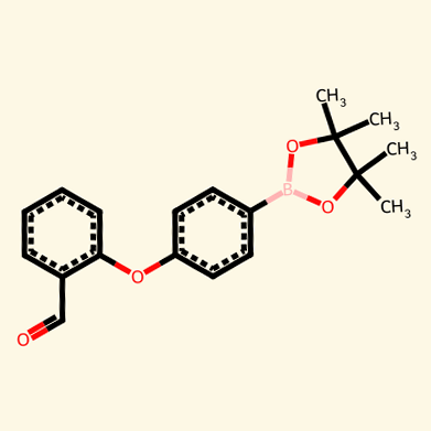 CC1(C)OB(c2ccc(Oc3ccccc3C=O)cc2)OC1(C)C